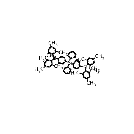 Cc1cc(C)c(B(c2ccc([Si](c3ccccc3)(c3ccccc3)c3ccc([SH](c4c(C)cc(C)cc4C)c4c(C)cc(C)cc4C)cc3)cc2)c2c(C)cc(C)cc2C)c(C)c1